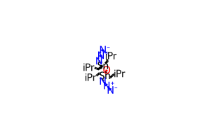 CC(C)[CH2][Sn]([CH2]C(C)C)([N]=[N+]=[N-])[O][Sn]([CH2]C(C)C)([CH2]C(C)C)[N]=[N+]=[N-]